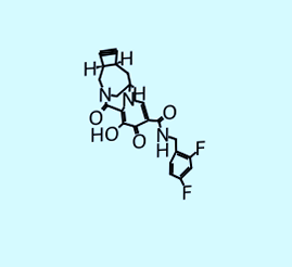 O=C(NCc1ccc(F)cc1F)c1cn2c(c(O)c1=O)C(=O)N1C[C@@H]2C[C@H]2C#C[C@H]2C1